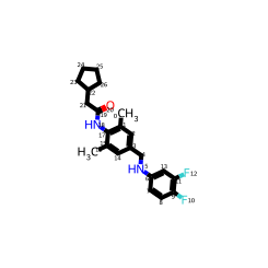 Cc1cc(CNc2ccc(F)c(F)c2)cc(C)c1NC(=O)CC1CCCC1